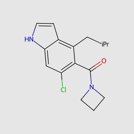 CC(C)Cc1c(C(=O)N2CCC2)c(Cl)cc2[nH]ccc12